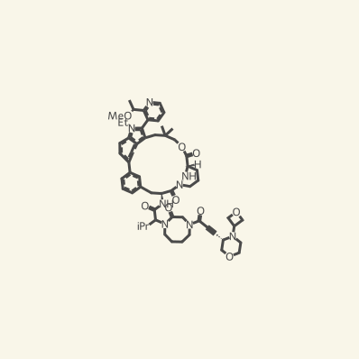 CCn1c(-c2cccnc2[C@H](C)OC)c2c3cc(ccc31)-c1cccc(c1)C[C@H](NC(=O)C(C(C)C)N1CCCCN(C(=O)C#C[C@H]3COCCN3C3COC3)CC1=O)C(=O)N1CCC[C@H](N1)C(=O)OCC(C)(C)C2